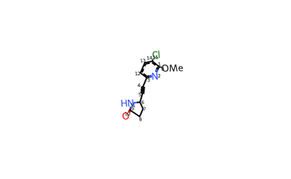 COc1nc(C#CC2CCC(=O)N2)ccc1Cl